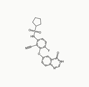 N#Cc1c(NS(=O)(=O)C2CCCC2)ccc(F)c1Oc1ccc2nc[nH]c(=O)c2c1